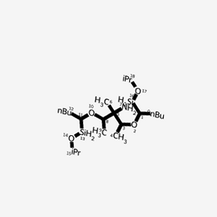 CCCCC(OC(C)C(C)(N)C(C)OC(CCCC)[SiH2]OC(C)C)[SiH2]OC(C)C